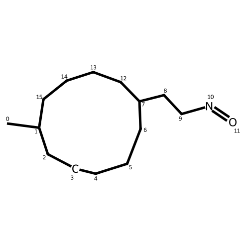 CC1CCCCCC(CCN=O)CCCC1